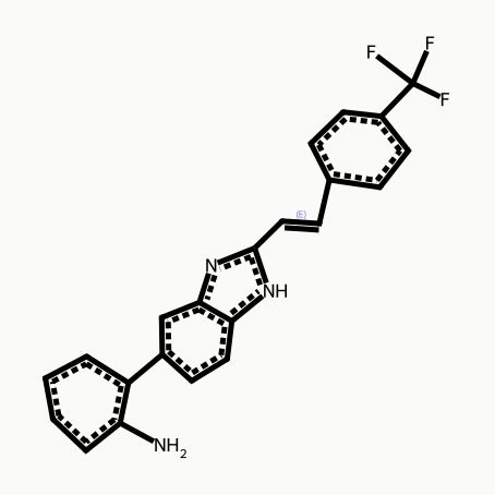 Nc1ccccc1-c1ccc2[nH]c(/C=C/c3ccc(C(F)(F)F)cc3)nc2c1